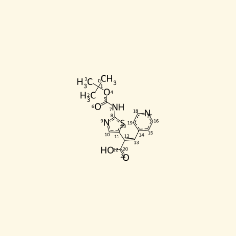 CC(C)(C)OC(=O)Nc1ncc(C(=Cc2ccncc2)C(=O)O)s1